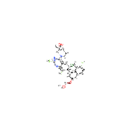 CCc1c(F)ccc2cc(OCOC)cc(-c3c(Cl)cc4c(N5CCC[C@@](C)(O)C5)nc(F)nc4c3F)c12